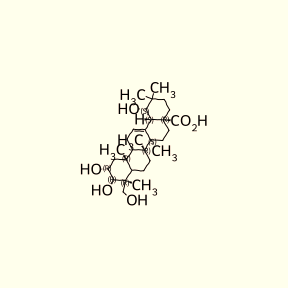 CC1(C)CC[C@]2(C(=O)O)CC[C@]3(C)C(=CCC4[C@@]5(C)C[C@@H](O)[C@H](O)[C@@](C)(CO)C5CC[C@]43C)[C@@H]2[C@@H]1O